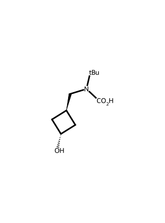 CC(C)(C)N(C[C@H]1C[C@H](O)C1)C(=O)O